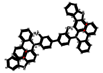 Cc1cc(-c2ccc(N(c3ccc4oc5ccccc5c4c3)c3ccccc3-c3ccccc3)c(C)c2)ccc1N(c1ccc2oc3ccccc3c2c1)c1ccccc1-c1ccccc1